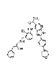 CCc1c(CNCC(O)Cc2ccccc2)cccc1Nc1c(C(N)=O)cnc2[nH]c(-c3ccc(N4CCOCC4)cc3)nc12